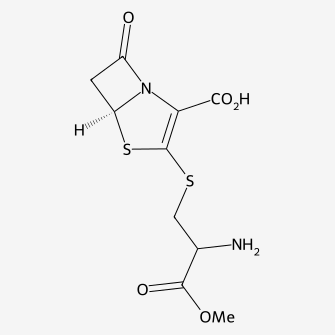 COC(=O)C(N)CSC1=C(C(=O)O)N2C(=O)C[C@@H]2S1